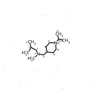 CC(C)CN(C)CC1CCN(C(C)C)CC1